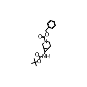 CC(C)(C)OC(=O)NC1C2CCN(C(=O)OCc3ccccc3)CC21